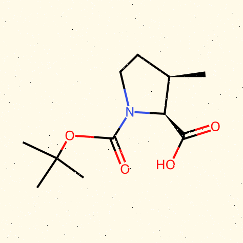 C[C@@H]1CCN(C(=O)OC(C)(C)C)[C@@H]1C(=O)O